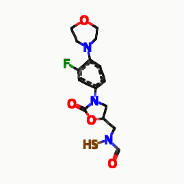 O=CN(S)CC1CN(c2ccc(N3CCOCC3)c(F)c2)C(=O)O1